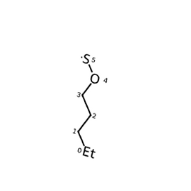 CCCCCO[S]